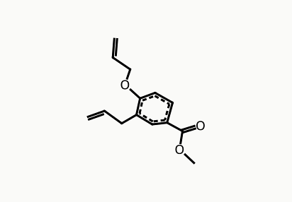 C=CCOc1ccc(C(=O)OC)cc1CC=C